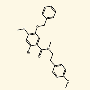 COc1ccc(CCN(C)C(=O)c2cc(OCc3ccccc3)c(OC)cc2Br)cc1